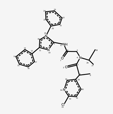 CC(C(=O)N(CC(=O)Nc1nc(-c2ccccc2)cn1-c1ccccc1)C(C)C)c1ccc(Cl)nc1